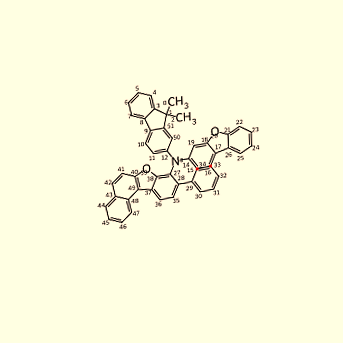 CC1(C)c2ccccc2-c2ccc(N(c3ccc4c(c3)oc3ccccc34)c3c(-c4ccccc4)ccc4c3oc3ccc5ccccc5c34)cc21